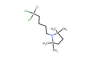 C[Si]1(C)CC[Si](C)(C)N1CCCC[Si](Cl)(Cl)Cl